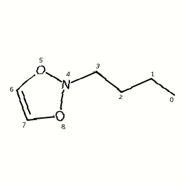 CCCCN1OC=CO1